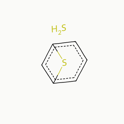 S.c1cc2cc(c1)S2